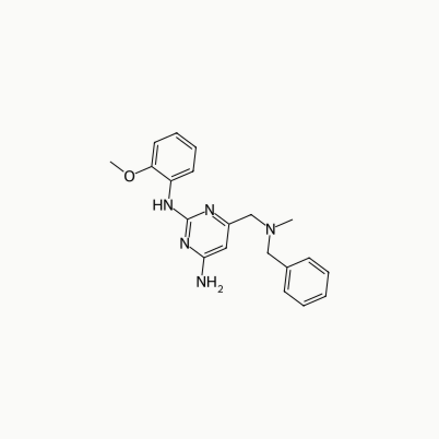 COc1ccccc1Nc1nc(N)cc(CN(C)Cc2ccccc2)n1